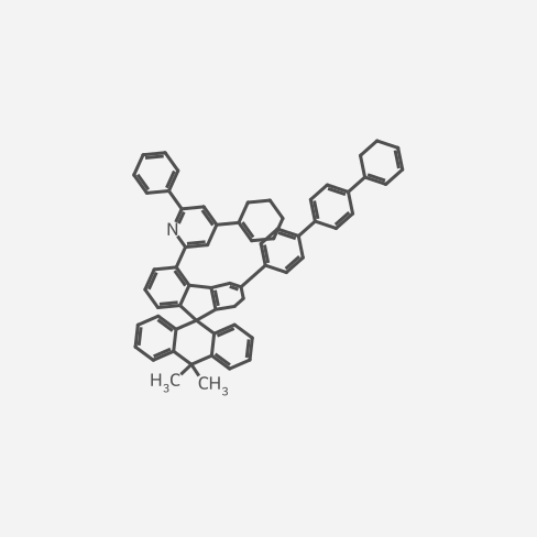 CC1(C)c2ccccc2C2(C3=C(C=C(c4ccc(-c5ccc(C6=CC=CCC6)cc5)cc4)CC3)c3c(-c4cc(C5=CCCCC5)cc(-c5ccccc5)n4)cccc32)c2ccccc21